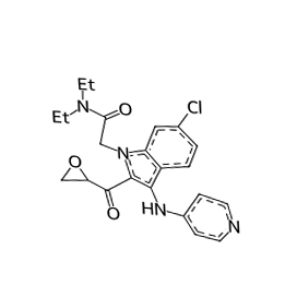 CCN(CC)C(=O)Cn1c(C(=O)C2CO2)c(Nc2ccncc2)c2ccc(Cl)cc21